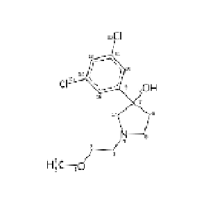 COCCN1CCC(O)(c2cc(Cl)cc(Cl)c2)C1